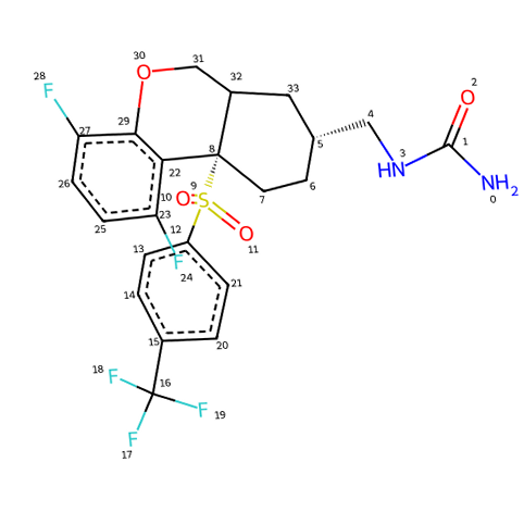 NC(=O)NC[C@@H]1CC[C@@]2(S(=O)(=O)c3ccc(C(F)(F)F)cc3)c3c(F)ccc(F)c3OCC2C1